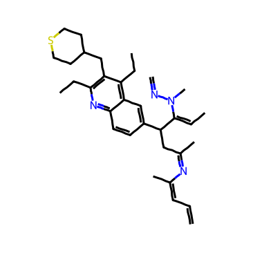 C=C/C=C(C)\N=C(\C)CC(/C(=C/C)N(C)N=C)c1ccc2nc(CC)c(CC3CCSCC3)c(CC)c2c1